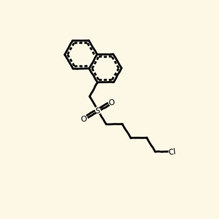 O=S(=O)(CCCCCCl)Cc1cccc2ccccc12